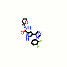 O=C(NC[C@@H]1CCCO1)c1cc(-c2cncn2-c2cccc(F)c2F)c[nH]1